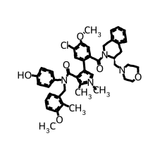 COc1cc(C(=O)N2Cc3ccccc3C[C@H]2CN2CCOCC2)c(-c2cn(C)c(C)c2C(=O)N(Cc2cccc(OC)c2C)c2ccc(O)cc2)cc1Cl